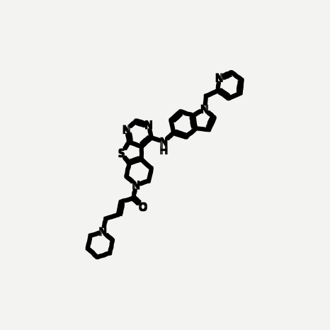 O=C(C=CCN1CCCCC1)N1CCc2c(sc3ncnc(Nc4ccc5c(ccn5Cc5ccccn5)c4)c23)C1